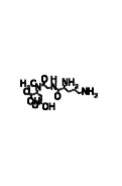 CN(C(=O)CNC(=O)[C@@H](N)CCCN)[C@@H](CC(=O)O)C(=O)O